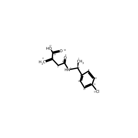 C=C(CC(=O)N[C@@H](C)c1ccc(Cl)cc1)C(=O)O